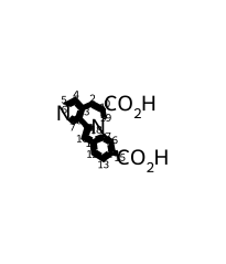 O=C(O)C1=Cc2ccncc2-c2cc3ccc(C(=O)O)cc3n2C1